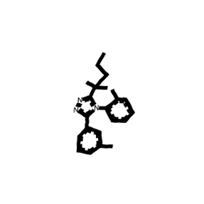 CCCC(C)(C)c1nnc(-c2cccc(C)c2)n1-c1ccccc1C